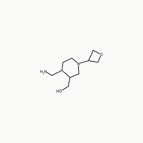 NCN1CCN(C2COC2)CC1CO